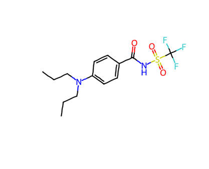 CCCN(CCC)c1ccc(C(=O)NS(=O)(=O)C(F)(F)F)cc1